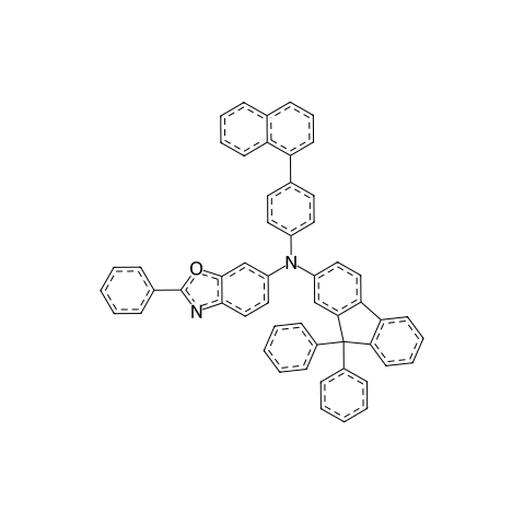 c1ccc(-c2nc3ccc(N(c4ccc(-c5cccc6ccccc56)cc4)c4ccc5c(c4)C(c4ccccc4)(c4ccccc4)c4ccccc4-5)cc3o2)cc1